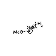 COCCCC[C@@]1(COC)C[C@@H](c2ccc(N)cc2)CCO1